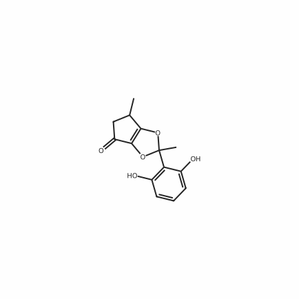 CC1CC(=O)C2=C1OC(C)(c1c(O)cccc1O)O2